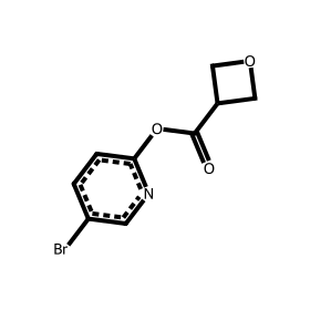 O=C(Oc1ccc(Br)cn1)C1COC1